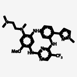 COc1cc(N(C)CCN(C)C)c(NC(C)=O)cc1Nc1ncc(C(F)(F)F)c(Nc2ccccc2-c2ccn(C)n2)n1